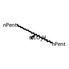 CCCCCC=CCC=CCCCCCCCCC(CCCCCCCCC=CCC=CCCCCC)C(CN(C)C)C(=O)O